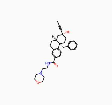 CC#C[C@@]1(O)CC[C@@]2(Cc3ccccc3)c3ccc(C(=O)NCCN4CCOCC4)cc3CC[C@@H]2C1